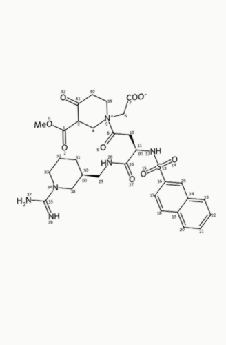 COC(=O)C1C[N+](CC(=O)[O-])(C(=O)C[C@@H](NS(=O)(=O)c2ccc3ccccc3c2)C(=O)NC[C@@H]2CCCN(C(=N)N)C2)CCC1=O